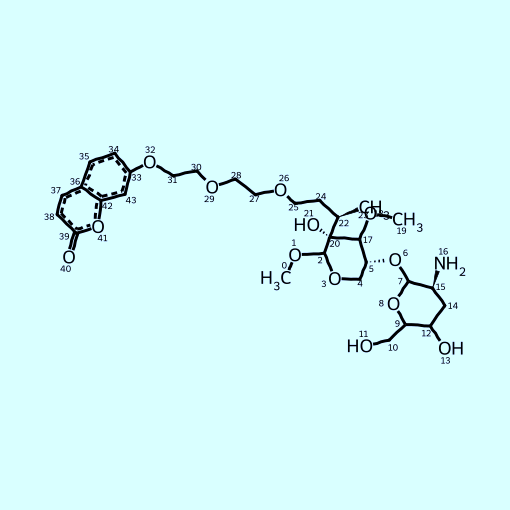 COC1OC[C@@H](OC2OC(CO)C(O)C[C@@H]2N)C(OC)[C@]1(O)[C@H](C)CCOCCOCCOc1ccc2ccc(=O)oc2c1